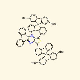 CC(C)(C)c1ccc2c(c1)C1(c3cc(C(C)(C)C)ccc3-2)c2ccccc2-c2c(-c3sc(-c4cccc5c4-c4ccccc4C54c5cc(C(C)(C)C)ccc5-c5ccc(C(C)(C)C)cc54)c4nc5c6ccccc6c6ccccc6c5nc34)cccc21